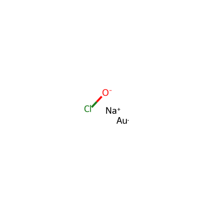 [Au].[Na+].[O-]Cl